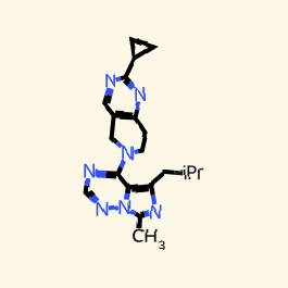 Cc1nc(CC(C)C)c2c(N3CCc4nc(C5CC5)ncc4C3)ncnn12